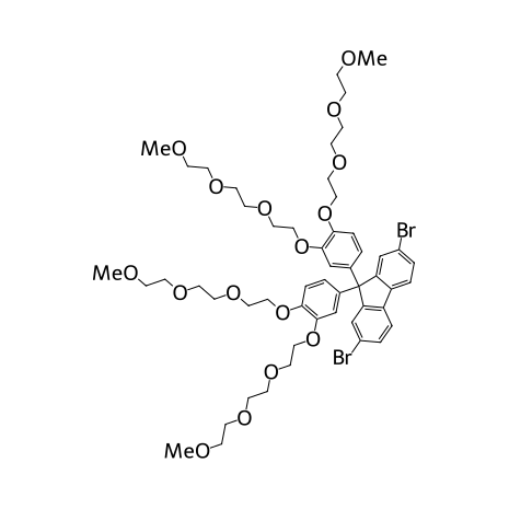 COCCOCCOCCOc1ccc(C2(c3ccc(OCCOCCOCCOC)c(OCCOCCOCCOC)c3)c3cc(Br)ccc3-c3ccc(Br)cc32)cc1OCCOCCOCCOC